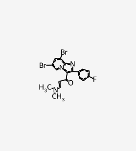 CN(C)C=CC(=O)c1c(-c2ccc(F)cc2)nc2c(Br)cc(Br)cn12